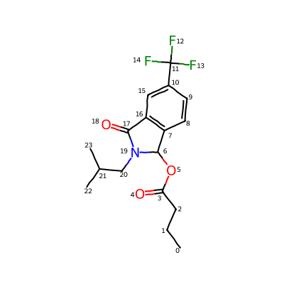 CCCC(=O)OC1c2ccc(C(F)(F)F)cc2C(=O)N1CC(C)C